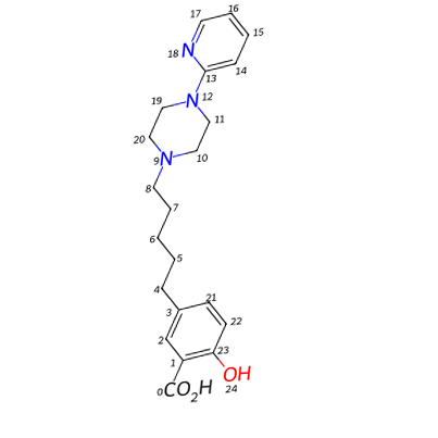 O=C(O)c1cc(CCCCCN2CCN(c3ccccn3)CC2)ccc1O